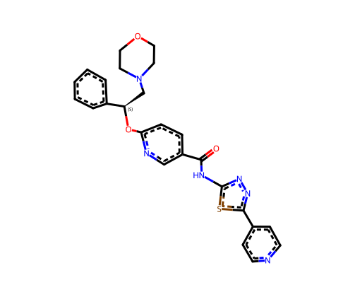 O=C(Nc1nnc(-c2ccncc2)s1)c1ccc(O[C@H](CN2CCOCC2)c2ccccc2)nc1